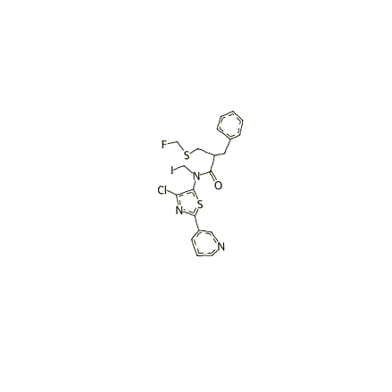 O=C(C(CSCF)Cc1ccccc1)N(CI)c1sc(-c2cccnc2)nc1Cl